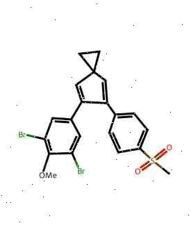 COc1c(Br)cc(C2=CC3(C=C2c2ccc(S(C)(=O)=O)cc2)CC3)cc1Br